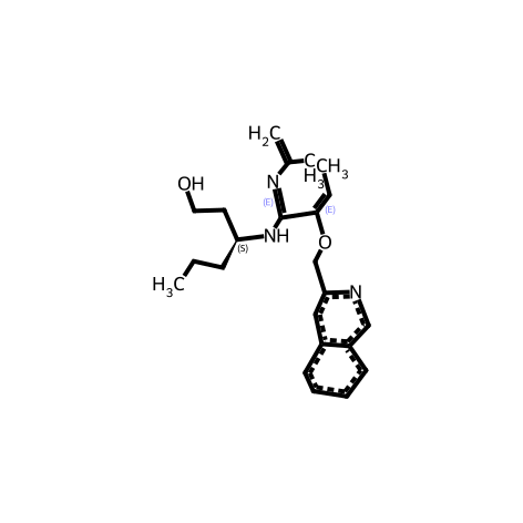 C=C(C)/N=C(N[C@@H](CCC)CCO)\C(=C/C)OCc1cc2ccccc2cn1